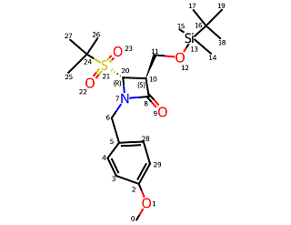 COc1ccc(CN2C(=O)[C@H](CO[Si](C)(C)C(C)(C)C)[C@H]2S(=O)(=O)C(C)(C)C)cc1